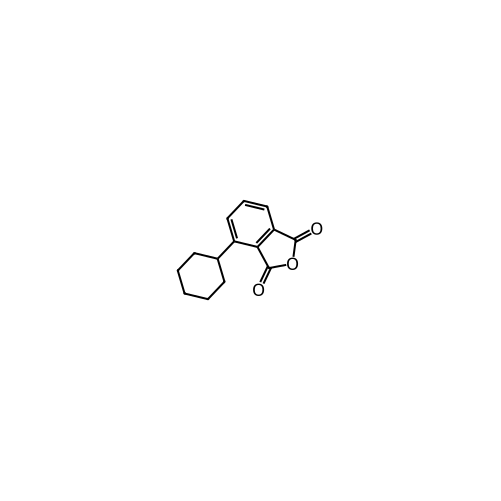 O=C1OC(=O)c2c1cccc2C1CCCCC1